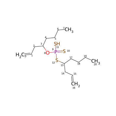 C=CCC(CCCC)OP(=S)(S)SC(CC=C)CCCC